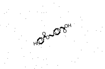 O=C(O)CN1CCN(CCOC(=O)N2CCNCC2)CC1